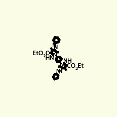 CCOC(=O)c1c(C)c(/N=N/c2ccccc2)c(C)n(-c2ccc(-n3c(C)c(/N=N/c4ccccc4)c(C)c(C(=O)OCC)c3=N)cc2)c1=N